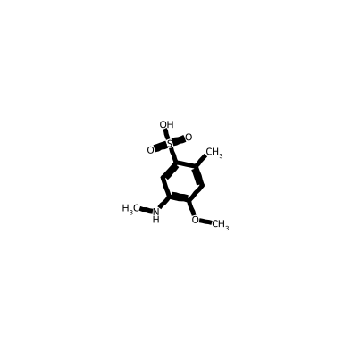 CNc1cc(S(=O)(=O)O)c(C)cc1OC